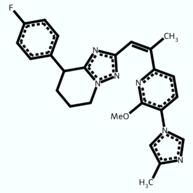 COc1nc(C(C)=Cc2nc3n(n2)CCCC3c2ccc(F)cc2)ccc1-n1cnc(C)c1